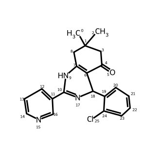 CC1(C)CC(=O)C2=C(C1)NC(c1cccnc1)=NC2c1ccccc1Cl